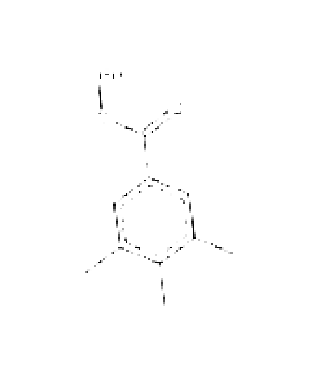 CCCCCOC(=O)c1cc(C)c(C)c(C)c1